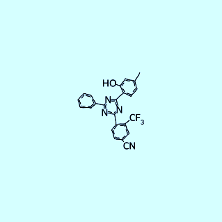 Cc1ccc(-c2nc(-c3ccccc3)nc(-c3ccc(C#N)cc3C(F)(F)F)n2)c(O)c1